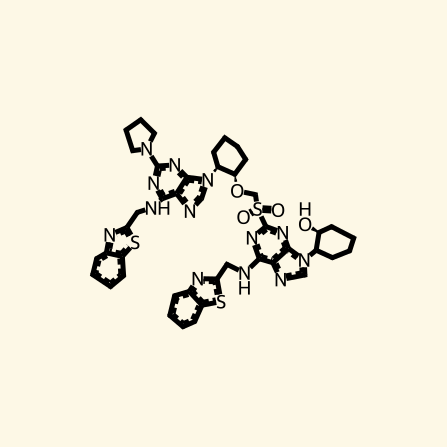 O=S(=O)(CO[C@H]1CCCC[C@H]1n1cnc2c(NCc3nc4ccccc4s3)nc(N3CCCC3)nc21)c1nc(NCc2nc3ccccc3s2)c2ncn(C3CCCC[C@@H]3O)c2n1